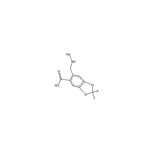 O=C(O)c1cc2c(cc1CNO)OC(F)(F)O2